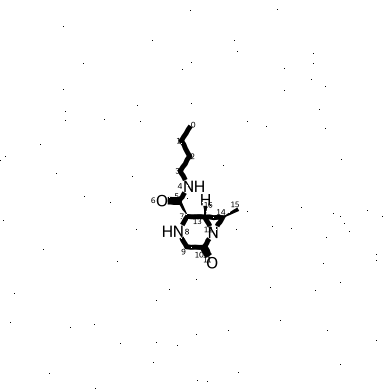 CCCCNC(=O)[C@@H]1NCC(=O)N2[C@H]1[C@H]2C